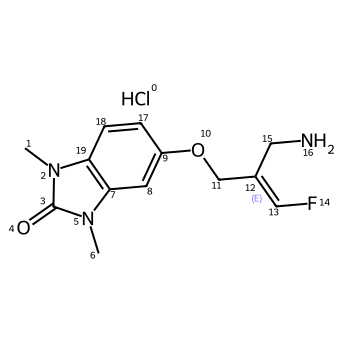 Cl.Cn1c(=O)n(C)c2cc(OC/C(=C/F)CN)ccc21